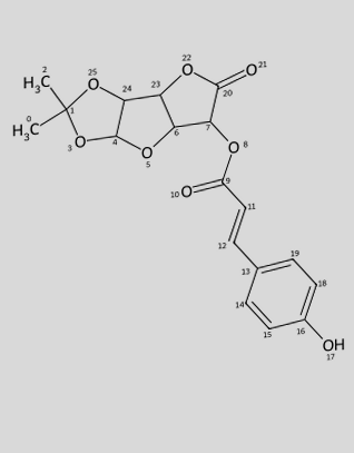 CC1(C)OC2OC3C(OC(=O)/C=C/c4ccc(O)cc4)C(=O)OC3C2O1